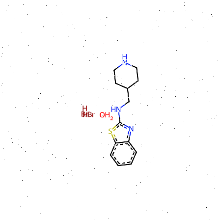 Br.Br.O.c1ccc2sc(NCC3CCNCC3)nc2c1